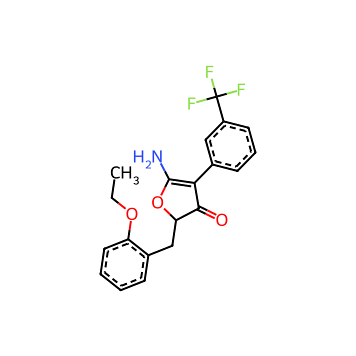 CCOc1ccccc1CC1OC(N)=C(c2cccc(C(F)(F)F)c2)C1=O